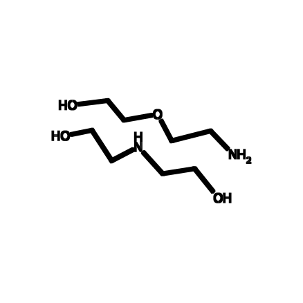 NCCOCCO.OCCNCCO